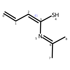 C=C/C=C(/S)N=C(C)C